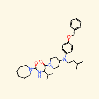 CC(C)CCN(c1ccc(OCc2ccccc2)cc1)C1CCN(C(=O)C(NC(=O)N2CCCCCC2)C(C)C)CC1